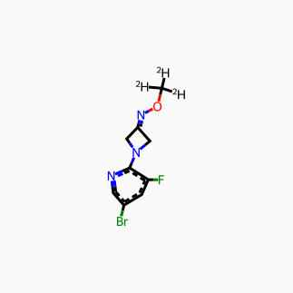 [2H]C([2H])([2H])ON=C1CN(c2ncc(Br)cc2F)C1